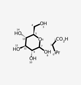 CC(C)CC(=O)O.OC[C@H]1OC(O)[C@H](O)[C@@H](O)[C@@H]1O